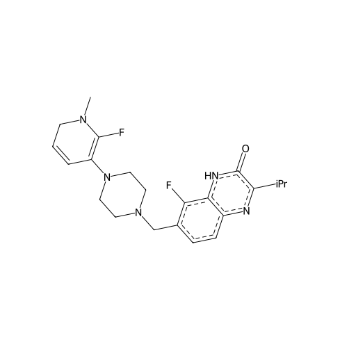 CC(C)c1nc2ccc(CN3CCN(C4=C(F)N(C)CC=C4)CC3)c(F)c2[nH]c1=O